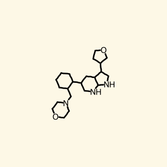 C1CCC(C2CNC3NCC(C4CCOC4)C3C2)C(CN2CCOCC2)C1